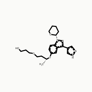 C[C@H](CCOCCCO)Oc1ccc2c(c1)c(-c1cn[nH]c1)nn2[C@H]1CCCCO1